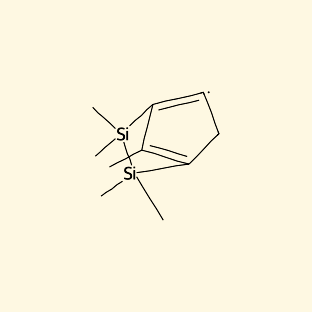 CC1=C2C[C]=C1[Si](C)(C)[Si]2(C)C